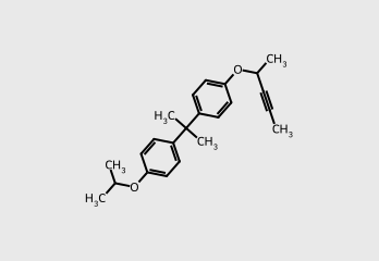 CC#CC(C)Oc1ccc(C(C)(C)c2ccc(OC(C)C)cc2)cc1